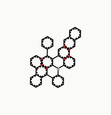 c1ccc(-c2cccc(N(c3cccc(-c4ccc5ccccc5c4)c3)c3ccccc3-c3cc4ccccc4c4ccccc34)c2-c2ccccc2)cc1